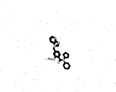 COc1cc(Cn2cnc3ncccc32)ccc1C(=O)N(C1CCCCC1)C1CCCC1